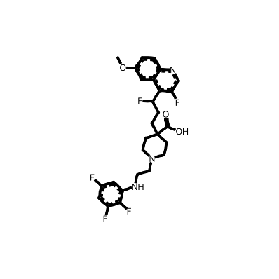 COc1ccc2ncc(F)c(C(F)CCC3(C(=O)O)CCN(CCNc4cc(F)cc(F)c4F)CC3)c2c1